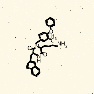 Cc1cc(CN2C(=O)C(Cc3ccc4ccccc4c3)NC(=O)C2CCCCN)ccc1Oc1ccccc1